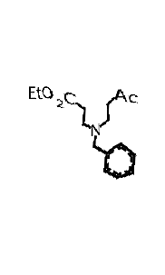 CCOC(=O)CCN(CCC(C)=O)Cc1ccccc1